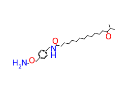 CC(C)C(=O)CCCCCCCCCCCCC(=O)NCc1ccc(COCN)cc1